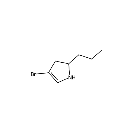 CCCC1CC(Br)=CN1